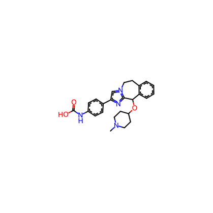 CN1CCC(OC2c3ccccc3CCn3cc(-c4ccc(NC(=O)O)cc4)nc32)CC1